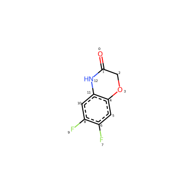 O=C1COc2cc(F)c(F)cc2N1